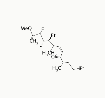 C=C(/C=C\C(C)[C@H](CC)[C@H](F)C(F)C(=C)OC)C(C)CCC(C)C